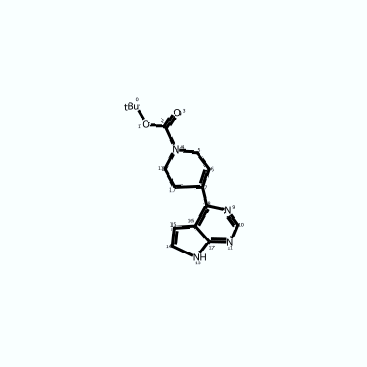 CC(C)(C)OC(=O)N1CC=C(c2ncnc3[nH]ccc23)CC1